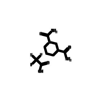 NC(=O)C1CCCN(C(N)=O)C1.O=C(O)C(F)(F)F